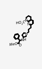 COC(=O)C(NC1CCN(CCCc2ccc3c(n2)N(C(=O)O)CCC3)C1)c1ccccc1